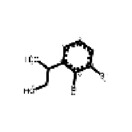 [CH2]C(CO)c1cccc(Br)c1Br